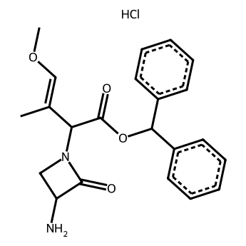 COC=C(C)C(C(=O)OC(c1ccccc1)c1ccccc1)N1CC(N)C1=O.Cl